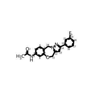 CC(=O)Nc1ccc2c(c1)OCc1cc(-c3cccc(F)c3)nn1C2